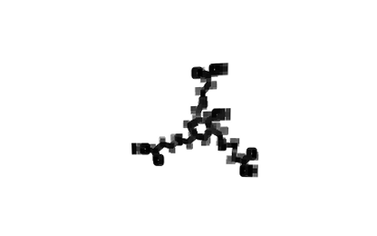 O=C(O)CCSCc1cc(CSCCC(=O)O)c(O)c(CSCCC(=O)O)c1